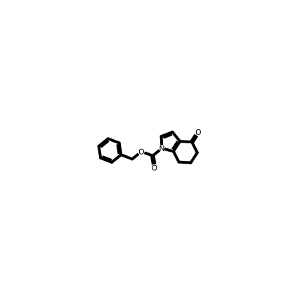 O=C1CCCc2c1ccn2C(=O)OCc1ccccc1